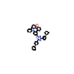 c1ccc(-c2ccc(-c3nc(-c4cccc(-c5ccccc5)c4)nc(-c4ccc5c(c4)c4cccc6oc7ccc8c9ccccc9n5c8c7c64)n3)cc2)cc1